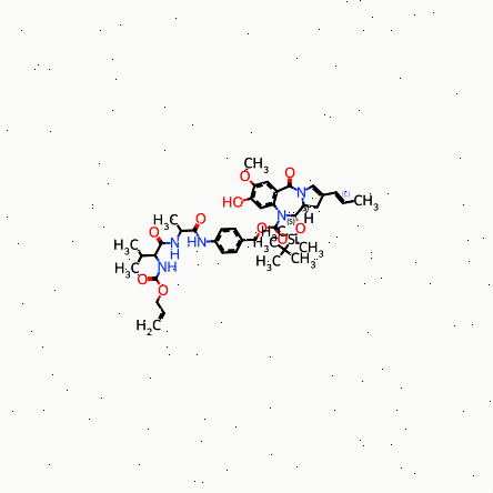 C=CCOC(=O)NC(C(=O)NC(C)C(=O)Nc1ccc(COC(=O)N2c3cc(O)c(OC)cc3C(=O)N3C=C(/C=C/C)C[C@H]3[C@@H]2O[Si](C)(C)C(C)(C)C)cc1)C(C)C